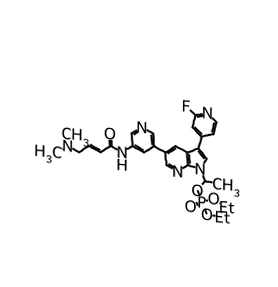 CCOP(=O)(OCC)OC(C)n1cc(-c2ccnc(F)c2)c2cc(-c3cncc(NC(=O)C=CCN(C)C)c3)cnc21